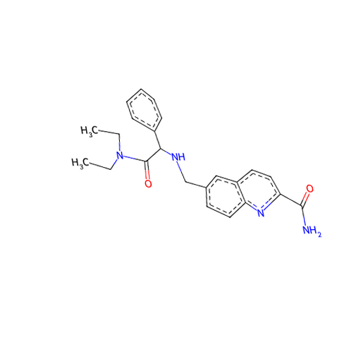 CCN(CC)C(=O)C(NCc1ccc2nc(C(N)=O)ccc2c1)c1ccccc1